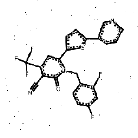 N#Cc1c(C(F)(F)F)cc(-c2ccc(-c3cccnc3)s2)n(Cc2ccc(F)cc2F)c1=O